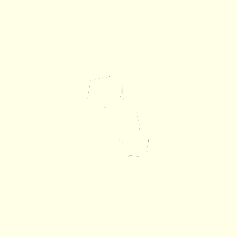 C1=CN(Cc2conn2)CCC1